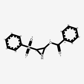 O=C(OC1NC1S(=O)(=O)c1ccccc1)c1ccccc1